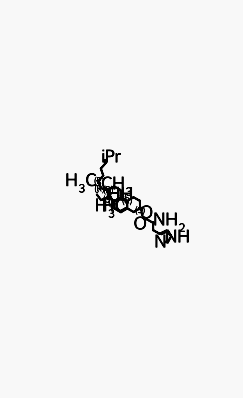 CC(C)CCC[C@@H](C)[C@H]1CC[C@H]2[C@@H]3CC=C4C[C@@H](OC(=O)C(N)Cc5c[nH]cn5)CC[C@]4(C)[C@H]3CC[C@]12C